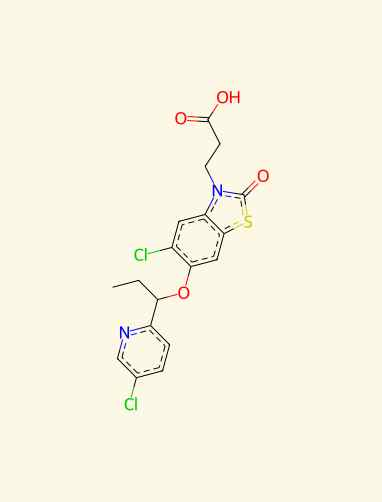 CCC(Oc1cc2sc(=O)n(CCC(=O)O)c2cc1Cl)c1ccc(Cl)cn1